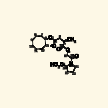 C=C(CC(=O)OC1CCCCCCC1)C(=O)OCC(=O)N1CCC[C@H]1C(=O)O